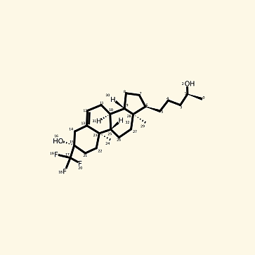 C[C@H](O)CCC[C@@H]1CC[C@H]2[C@@H]3CC=C4C[C@](O)(C(F)(F)F)CC[C@]4(C)[C@H]3CC[C@]12C